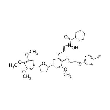 COc1cc(C2CCC(c3cc(OC)c(OC)c(OC)c3)O2)cc(C/C=C/N(O)C(=O)C2CCCCC2)c1OCCSc1ccc(F)cc1